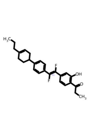 CCCC1=CCC(c2ccc(/C(F)=C(\F)c3ccc(C(=O)CC)c(O)c3)cc2)CC1